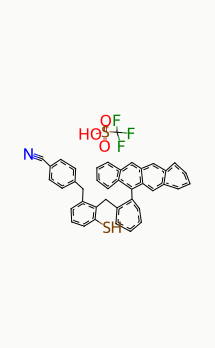 N#Cc1ccc(Cc2cccc(S)c2Cc2ccccc2-c2c3ccccc3cc3cc4ccccc4cc23)cc1.O=S(=O)(O)C(F)(F)F